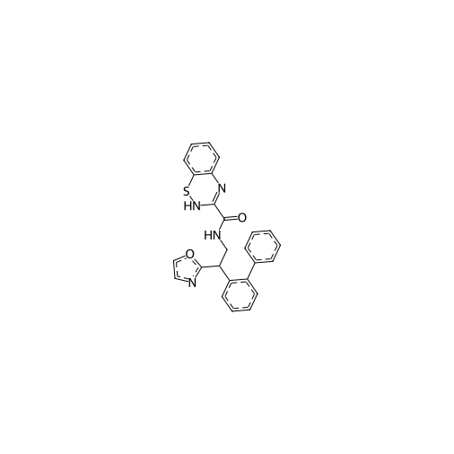 O=C(NCC(c1ncco1)c1ccccc1-c1ccccc1)C1=Nc2ccccc2SN1